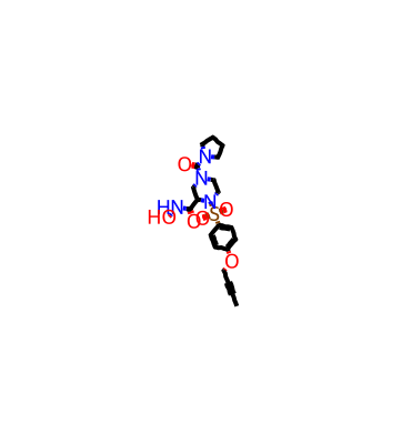 CC#CCOc1ccc(S(=O)(=O)N2CCN(C(=O)N3CCCC3)CC2C(=O)NO)cc1